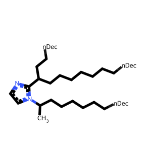 CCCCCCCCCCCCCCCCCC(CCCCCCCCCCCC)c1nccn1C(C)CCCCCCCCCCCCCCCC